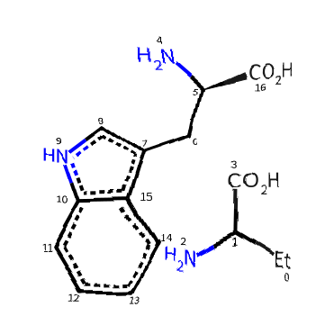 CCC(N)C(=O)O.N[C@H](Cc1c[nH]c2ccccc12)C(=O)O